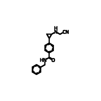 N#CCNC1CC1c1ccc(C(=O)NCc2ccccc2)cc1